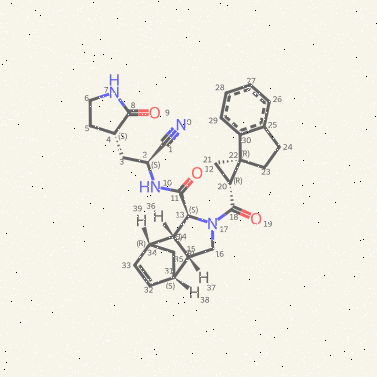 N#C[C@H](C[C@@H]1CCNC1=O)NC(=O)[C@@H]1[C@@H]2[C@H](CN1C(=O)[C@@H]1C[C@]13CCc1ccccc13)[C@@H]1C=C[C@H]2C1